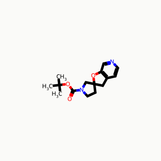 CC(C)(C)OC(=O)N1CCC2(Cc3ccncc3O2)C1